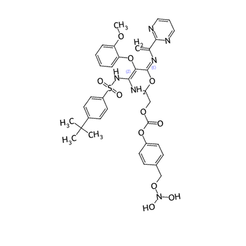 C=C(/N=C(OCCOC(=O)Oc1ccc(CON(O)O)cc1)\C(Oc1ccccc1OC)=C(/N)NS(=O)(=O)c1ccc(C(C)(C)C)cc1)c1ncccn1